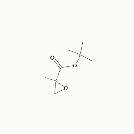 CC(C)(C)OC(=O)C1(C)CO1